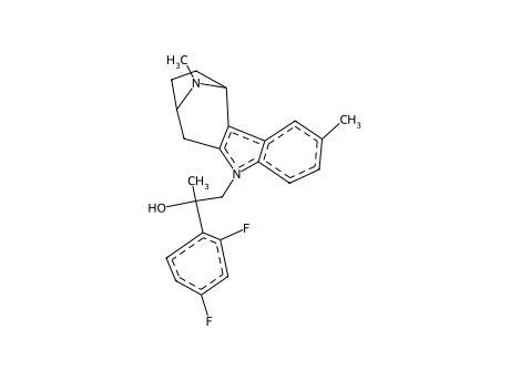 Cc1ccc2c(c1)c1c(n2CC(C)(O)c2ccc(F)cc2F)CC2CCC1N2C